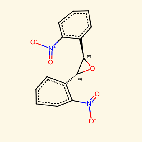 O=[N+]([O-])c1ccccc1[C@H]1O[C@@H]1c1ccccc1[N+](=O)[O-]